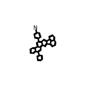 N#Cc1ccc(-c2cc3c4ccccc4c(-c4ccccc4)cc3c3cc4c(cc23)-c2cccc3cccc-4c23)cc1